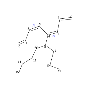 C=C/C=C\C(=C/C=C)C(CCC)CCCC